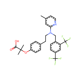 Cc1ccnc(N(CCc2ccc(OC(C)(C)C(=O)O)cc2)Cc2ccc(C(F)(F)F)cc2C(F)(F)F)c1